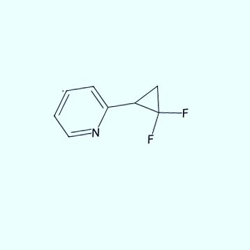 FC1(F)CC1c1c[c]ccn1